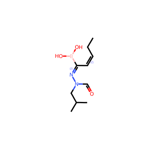 CC/C=C\C(=N/N(C=O)CC(C)C)B(O)O